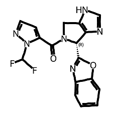 O=C(c1ccnn1C(F)F)N1Cc2[nH]cnc2[C@@H]1c1nc2ccccc2o1